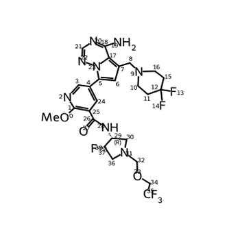 COc1ncc(-c2cc(CN3CCC(F)(F)CC3)c3c(N)ncnn23)cc1C(=O)N[C@@H]1CN(COCC(F)(F)F)C[C@@H]1F